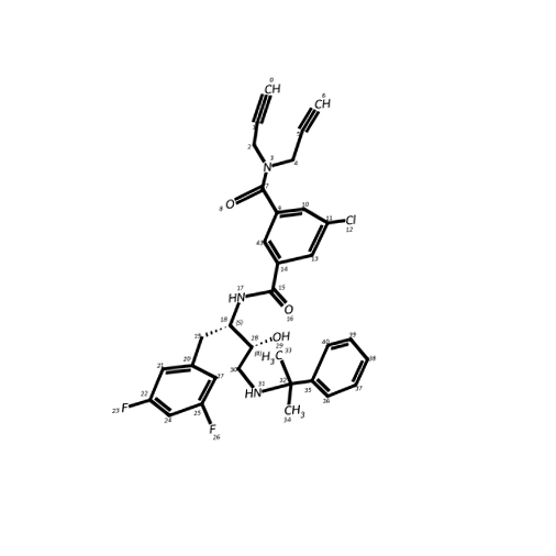 C#CCN(CC#C)C(=O)c1cc(Cl)cc(C(=O)N[C@@H](Cc2cc(F)cc(F)c2)[C@H](O)CNC(C)(C)c2ccccc2)c1